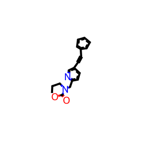 O=C1OCCCN1Cc1ccc(C#Cc2ccccc2)cn1